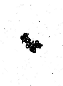 C[C@@H](NC(=O)OC(C)(C)C)[C@@H](C(=O)N1CCOCC1)c1ccc([N+](=O)[O-])c(F)c1